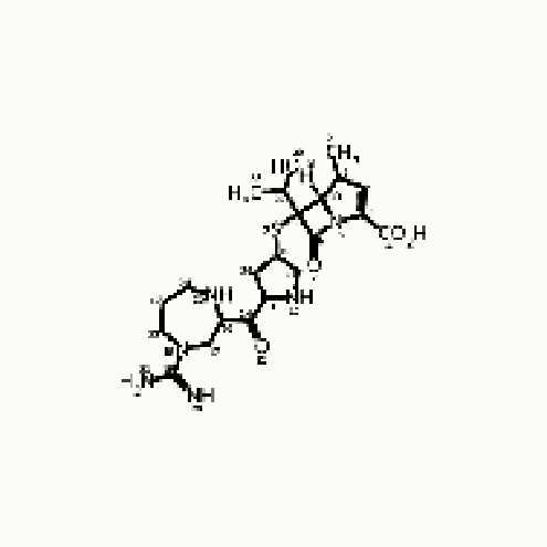 CC1C=C(C(=O)O)N2C(=O)C(SC3CNC(C(=O)C4CN(C(=N)N)CCCN4)C3)(C(C)O)[C@H]12